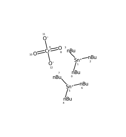 CCC[CH2][Sn+]([CH2]CCC)[CH2]CCC.CCC[CH2][Sn+]([CH2]CCC)[CH2]CCC.[O]=[Cr](=[O])([O-])[O-]